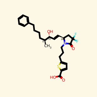 C[C@@H](CCCCc1ccccc1)[C@H](O)C=C[C@H]1CC(F)(F)C(=O)N1CCCc1ccc(C(=O)O)s1